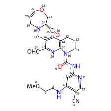 COCCNc1cc(NC(=O)N2CCCc3cc(CN4CC=COCC4=C=O)c(C=O)nc32)ncc1C#N